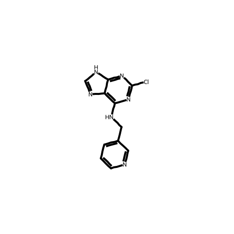 Clc1nc(NCc2cccnc2)c2nc[nH]c2n1